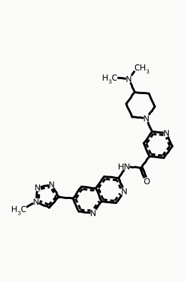 CN(C)C1CCN(c2cc(C(=O)Nc3cc4cc(-c5cn(C)nn5)cnc4cn3)ccn2)CC1